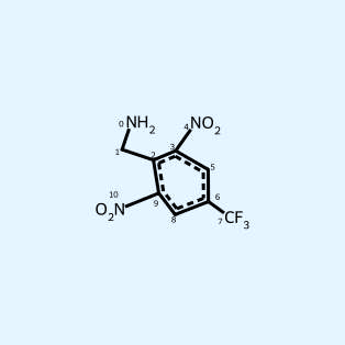 NCc1c([N+](=O)[O-])cc(C(F)(F)F)cc1[N+](=O)[O-]